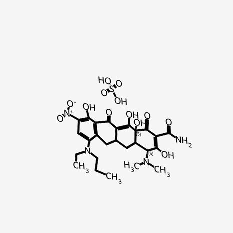 CCCN(CC)c1cc([N+](=O)[O-])c(O)c2c1CC1CC3[C@H](N(C)C)C(O)=C(C(N)=O)C(=O)[C@@]3(O)C(O)=C1C2=O.O=S(=O)(O)O